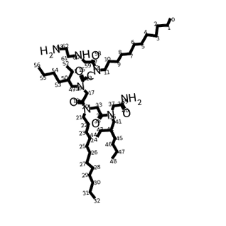 CCCCCCCCCCCCN(CC(=O)N(CC(=O)N(CCCCCCCCCCCC)CC(=O)N(CC(N)=O)CC(CC)CCCC)CC(CC)CCCC)C(=O)CNCCN